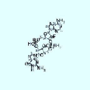 B[P@]1OCC2OC(n3cnc4c(=O)[nH]c(N)nc43)C(OP(=O)(O)OCC3OC(n4cnc5c(N)ncnc54)C(F)C3O1)C2OC